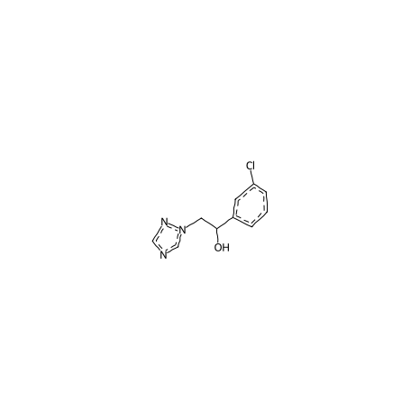 OC(Cn1cncn1)c1cccc(Cl)c1